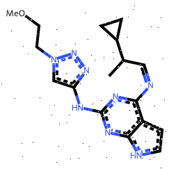 COCCn1cc(Nc2nc(/N=C\C(C)C3CC3)c3cc[nH]c3n2)nn1